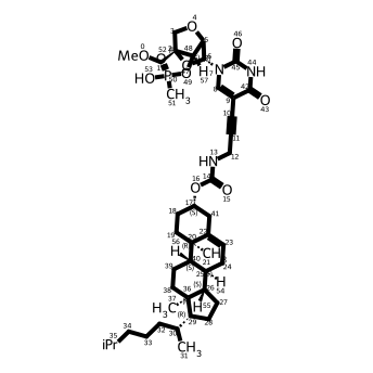 COC[C@]12COC([C@H](n3cc(C#CCNC(=O)O[C@H]4CC[C@@]5(C)C(=CC[C@H]6[C@@H]7CC[C@H](C(C)CCCC(C)C)[C@@]7(C)CC[C@@H]65)C4)c(=O)[nH]c3=O)O1)[C@@H]2OP(C)(=O)O